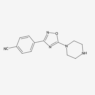 N#Cc1ccc(-c2noc(N3CCNCC3)n2)cc1